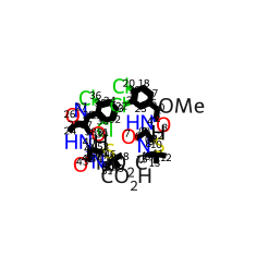 COC(C(=O)N[C@@H]1C(=O)N2[C@@H]1SC(C)(C)[C@@H]2C(=O)O)c1ccc(Cl)c(Cl)c1.Cc1onc(-c2c(Cl)cccc2Cl)c1C(=O)N[C@@H]1C(=O)N2[C@@H]1SC(C)(C)[C@@H]2C(=O)O